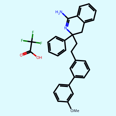 COc1cccc(-c2cccc(CCC3(c4ccccc4)Cc4ccccc4C(N)=N3)c2)c1.O=C(O)C(F)(F)F